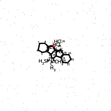 CCC1=CC2=C(CCCC2)[CH]1[Zr]([CH3])([CH3])(=[SiH2])[CH]1C(CC)=CC2=C1CCCC2.Cl.Cl